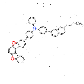 CCCCc1ccc2ccc(-c3ccc(N(c4ccccc4)c4ccc(-c5ccc6c(c5)oc5ccc7oc8ccccc8c7c56)cc4)cc3)cc2c1